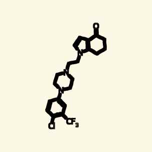 O=C1CCCc2c1ccn2CCN1CCN(c2ccc(Cl)c(C(F)(F)F)c2)CC1